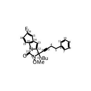 CCCCC1(C#CCCc2ccccc2)c2cc3cc(F)ccc3n2C(=O)N1OC